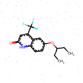 CCC(CC)Oc1ccc2[nH]c(=O)cc(C(F)(F)F)c2c1